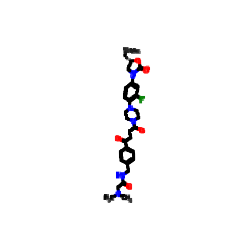 CC(=O)NC[C@H]1CN(c2ccc(N3CCN(C(=O)CCC(=O)c4ccc(CNC(=O)CN(C)C)cc4)CC3)c(F)c2)C(=O)O1